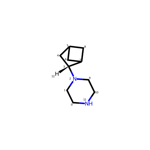 C1CN([C@@H]2CC3CC2C3)CCN1